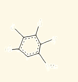 COc1cc(S)c(Cl)c(Cl)c1Cl